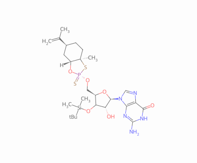 C=C(C)[C@H]1CC[C@@]2(C)S[P@](=S)(OC[C@H]3O[C@@H](n4cnc5c(=O)[nH]c(N)nc54)[C@H](O)C3O[Si](C)(C)C(C)(C)C)O[C@@H]2C1